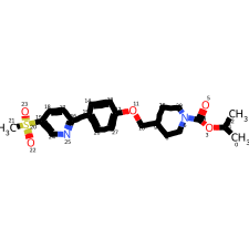 CC(C)OC(=O)N1CCC(COc2ccc(-c3ccc(S(C)(=O)=O)cn3)cc2)CC1